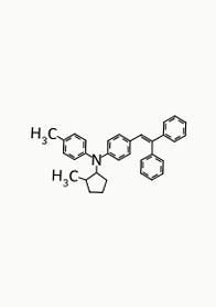 Cc1ccc(N(c2ccc(C=C(c3ccccc3)c3ccccc3)cc2)C2CCCC2C)cc1